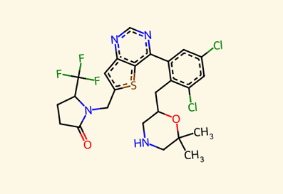 CC1(C)CNCC(Cc2c(Cl)cc(Cl)cc2-c2ncnc3cc(CN4C(=O)CCC4C(F)(F)F)sc23)O1